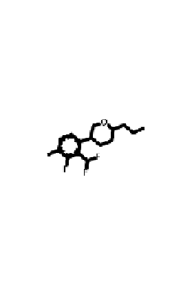 CCCC1CCC(c2ccc(C)c(F)c2C(F)F)CO1